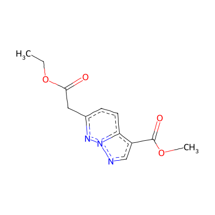 CCOC(=O)Cc1ccc2c(C(=O)OC)cnn2n1